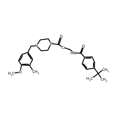 COc1ccc(CN2CCN(C(=O)CCNC(=O)c3ccc(C(C)(C)C)cc3)CC2)cc1C